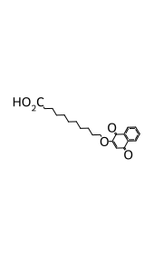 O=C(O)CCCCCCCCCCOC1=CC(=O)c2ccccc2C1=O